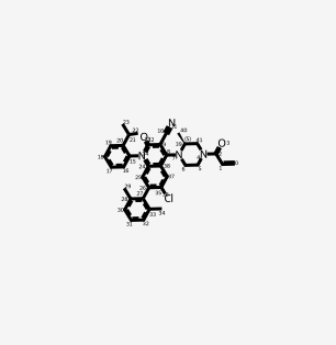 C=CC(=O)N1CCN(c2c(C#N)c(=O)n(-c3ccccc3C(C)C)c3cc(-c4c(C)cccc4C)c(Cl)cc23)[C@@H](C)C1